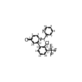 O=c1ccn(Cc2ccccn2)c(-c2cccc(C(F)(F)F)c2Cl)c1